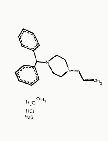 C=CCN1CCN(C(c2ccccc2)c2ccccc2)CC1.Cl.Cl.O.O